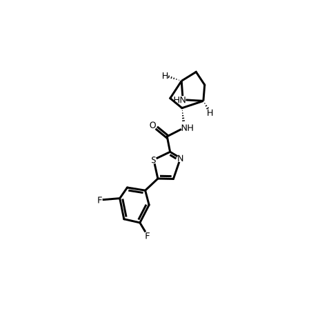 O=C(N[C@@H]1C[C@H]2CC[C@@H]1N2)c1ncc(-c2cc(F)cc(F)c2)s1